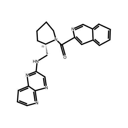 O=C(c1cc2ccccc2cn1)N1CCCC[C@H]1CNc1cnc2ncccc2n1